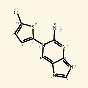 Nc1nc2ncnc-2cn1-c1ccc(Cl)s1